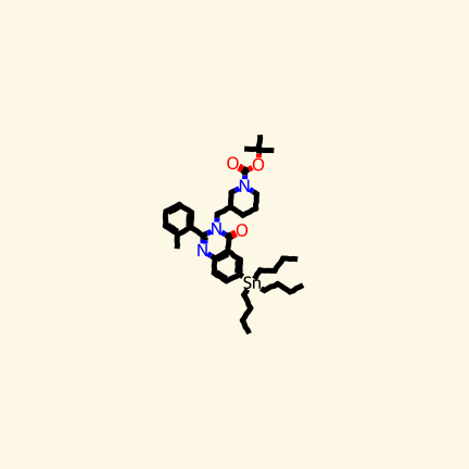 CCC[CH2][Sn]([CH2]CCC)([CH2]CCC)[c]1ccc2nc(-c3ccccc3C)n(CC3CCCN(C(=O)OC(C)(C)C)C3)c(=O)c2c1